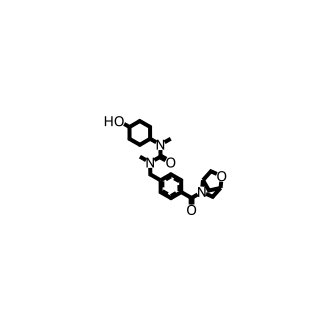 CN(Cc1ccc(C(=O)N2CC3CC2CO3)cc1)C(=O)N(C)C1CCC(O)CC1